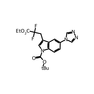 CCOC(=O)C(F)(F)Cc1cn(C(=O)OC(C)(C)C)c2ccc(-n3cnnc3)cc12